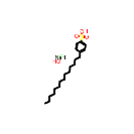 CCCCCCCCCCCCCCc1ccc(S(=O)(=O)O)cc1.OCl.[NaH]